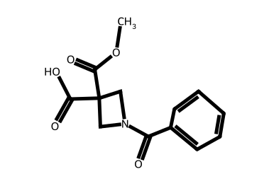 COC(=O)C1(C(=O)O)CN(C(=O)c2ccccc2)C1